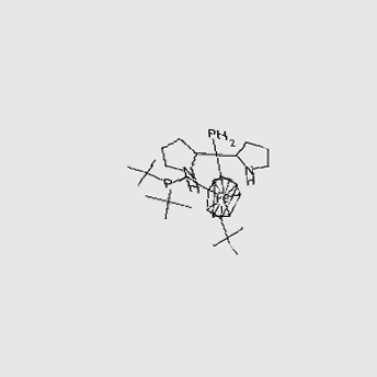 CC(C)(C)P(C[C]12[CH]3[C]4(C(C)(C)C)[CH]5[C]1(C(P)(C1CCCN1)C1CCCN1)[Fe]35241678[CH]2[CH]1[CH]6[CH]7[CH]28)C(C)(C)C